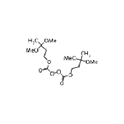 COC(C)(CCOC(=O)OOC(=O)OCCC(C)(OC)OC)OC